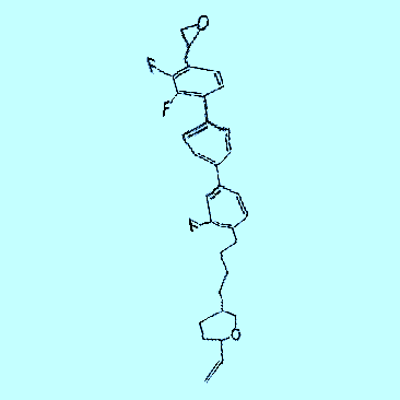 C=CC1CCC(CCCCc2ccc(-c3ccc(-c4ccc(C5CO5)c(F)c4F)cc3)cc2F)CO1